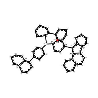 c1ccc(-c2ccccc2N(c2ccc(-c3cccc4ccccc34)cc2)c2ccc(-n3c4ccccc4c4ccc5ccccc5c43)cc2)cc1